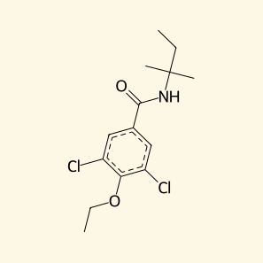 CCOc1c(Cl)cc(C(=O)NC(C)(C)CC)cc1Cl